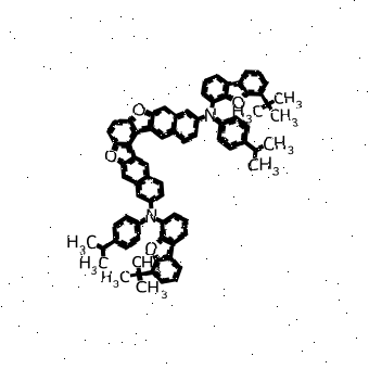 CC(C)c1ccc(N(c2ccc3cc4c(cc3c2)oc2ccc3oc5cc6cc(N(c7ccc(C(C)C)cc7)c7cccc8c7oc7c(C(C)(C)C)cccc78)ccc6cc5c3c24)c2cccc3c2oc2c(C(C)(C)C)cccc23)cc1